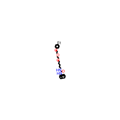 CCc1ccc(OCCOCCOCCCCCNC(=O)NC23CC4CC(CC(C4)C2)C3)cc1